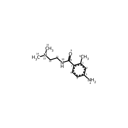 Cc1cc(N)ccc1C(=O)NCCN(C)C